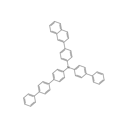 c1ccc(-c2ccc(-c3ccc(N(c4ccc(-c5ccccc5)cc4)c4ccc(-c5ccc6ccccc6c5)cc4)cc3)cc2)cc1